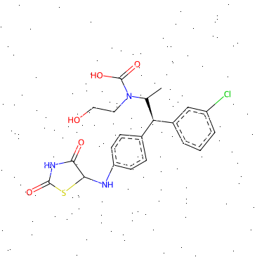 CC([C@H](c1ccc(NC2SC(=O)NC2=O)cc1)c1cccc(Cl)c1)N(CCO)C(=O)O